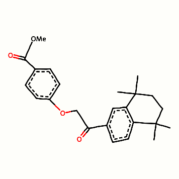 COC(=O)c1ccc(OCC(=O)c2ccc3c(c2)C(C)(C)CCC3(C)C)cc1